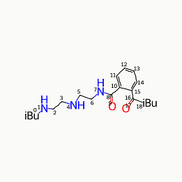 CCC(C)NCCNCCNC(=O)c1ccccc1C(=O)C(C)CC